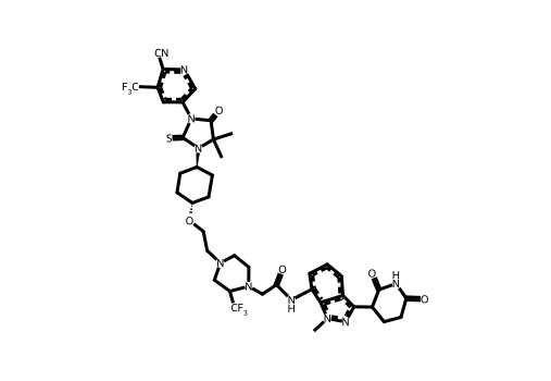 Cn1nc(C2CCC(=O)NC2=O)c2cccc(NC(=O)CN3CCN(CCO[C@H]4CC[C@H](N5C(=S)N(c6cnc(C#N)c(C(F)(F)F)c6)C(=O)C5(C)C)CC4)CC3C(F)(F)F)c21